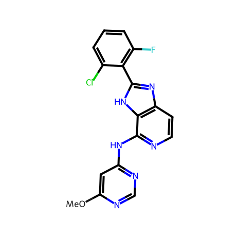 COc1cc(Nc2nccc3nc(-c4c(F)cccc4Cl)[nH]c23)ncn1